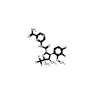 COc1c([C@H]2[C@@H](C)[C@@](C)(C(F)(F)F)O[C@H]2C(=O)Nc2cncc(C(N)=O)n2)ccc(F)c1F